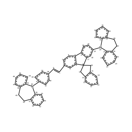 C(=C\c1ccc2c(c1)C1(Cc3ccccc3C1)c1cc(N3c4ccccc4CCc4ccccc43)ccc1-2)/c1ccc(N2c3ccccc3CCc3ccccc32)cc1